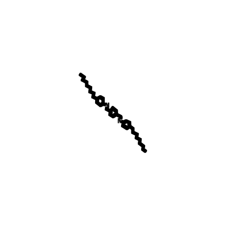 CCCCCCCCCc1ccc(N=Cc2ccc(C=Nc3ccc(CCCCCCCCC)cc3)cc2)cc1